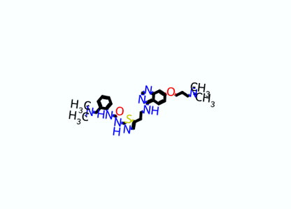 CN(C)CCCOc1ccc2c(NCCc3cnc(NC(=O)Nc4ccccc4CN(C)C)s3)ncnc2c1